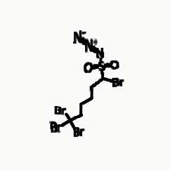 [N-]=[N+]=NS(=O)(=O)C(Br)CCCCC(Br)(Br)Br